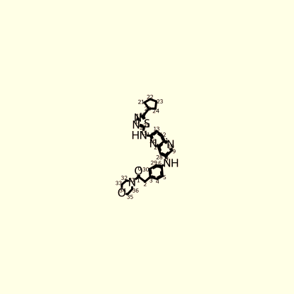 O=C(Cc1ccc(Nc2cnc3ccc(Nc4nnc(C5CCCC5)s4)nc3c2)cc1)N1CCOCC1